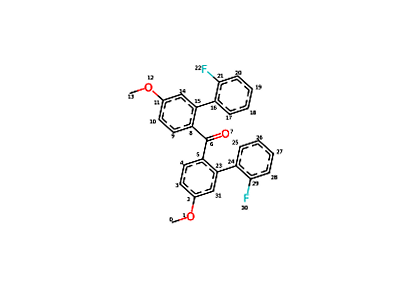 COc1ccc(C(=O)c2ccc(OC)cc2-c2ccccc2F)c(-c2ccccc2F)c1